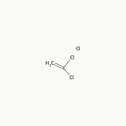 C=C(Cl)Cl.[O]